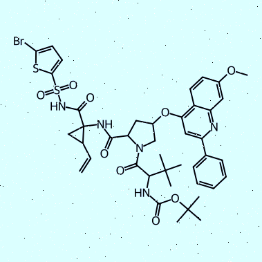 C=CC1CC1(NC(=O)C1CC(Oc2cc(-c3ccccc3)nc3cc(OC)ccc23)CN1C(=O)C(NC(=O)OC(C)(C)C)C(C)(C)C)C(=O)NS(=O)(=O)c1ccc(Br)s1